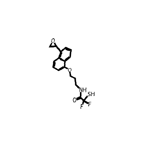 O=C(NCCCOc1cccc2c(C3CO3)cccc12)C(F)(F)S